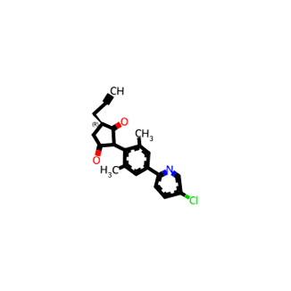 C#CC[C@@H]1CC(=O)C(c2c(C)cc(-c3ccc(Cl)cn3)cc2C)C1=O